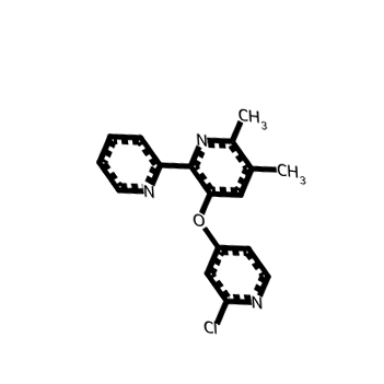 Cc1cc(Oc2ccnc(Cl)c2)c(-c2ccccn2)nc1C